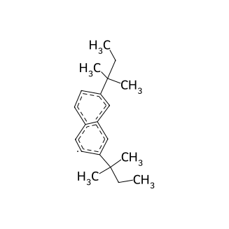 CCC(C)(C)c1[c]cc2ccc(C(C)(C)CC)cc2c1